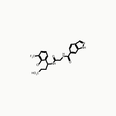 O=C(O)CCC(NC(=O)CNC(=O)c1ccc2cn[nH]c2c1)c1cccc(C(F)(F)F)c1Cl